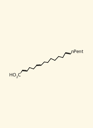 CCCCCC=CCCCCCCC=CCCC=CC(=O)O